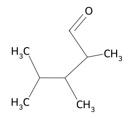 CC(C)C(C)C(C)C=O